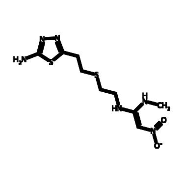 CNC(=C[N+](=O)[O-])NCCSCCc1nnc(N)s1